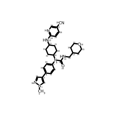 Cn1cc(-c2ccc(N(C(=O)NCC3CCOCC3)C3CCC(Nc4ccc(C#N)cn4)CC3)cc2)cn1